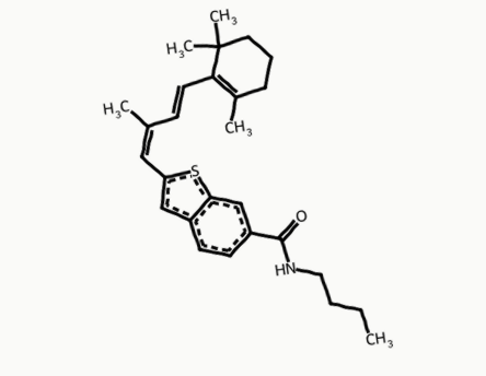 CCCCNC(=O)c1ccc2cc(C=C(C)C=CC3=C(C)CCCC3(C)C)sc2c1